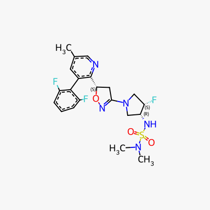 Cc1cnc([C@@H]2CC(N3C[C@H](F)[C@H](NS(=O)(=O)N(C)C)C3)=NO2)c(-c2c(F)cccc2F)c1